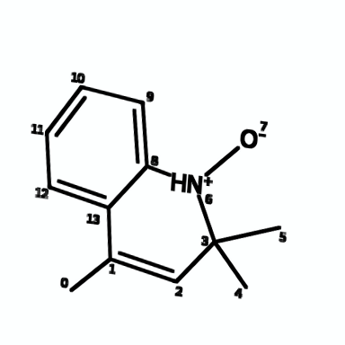 CC1=CC(C)(C)[NH+]([O-])c2ccccc21